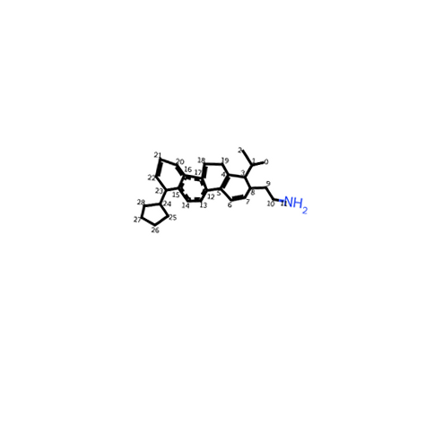 CC(C)C1C2=C(C=CC1CCN)c1ccc3c(c1=CC2)=CC=CC3C1CCCC1